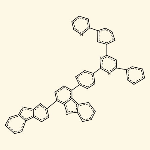 c1ccc(-c2cc(-c3cccc(-c4ccccn4)c3)nc(-c3ccc(-c4ccc(-c5ccc6c(c5)sc5ccccc56)c5oc6ccccc6c45)cc3)n2)cc1